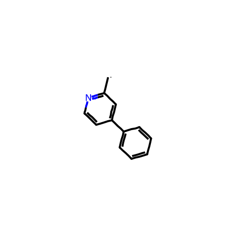 [CH2]c1cc(-c2ccccc2)ccn1